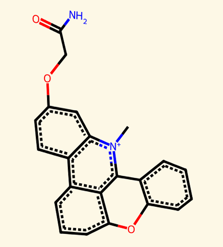 C[n+]1c2c3c(cccc3c3ccc(OCC(N)=O)cc31)Oc1ccccc1-2